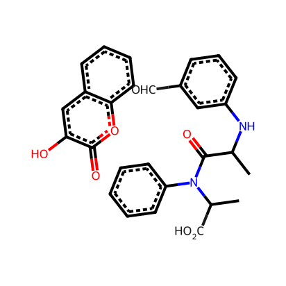 CC(Nc1cccc(C=O)c1)C(=O)N(c1ccccc1)C(C)C(=O)O.O=c1oc2ccccc2cc1O